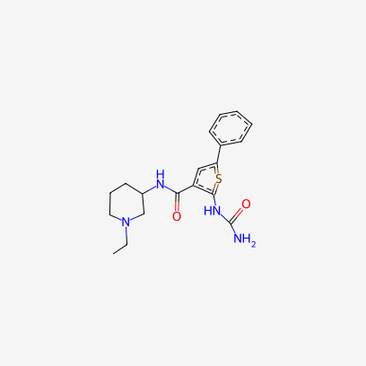 CCN1CCCC(NC(=O)c2cc(-c3ccccc3)sc2NC(N)=O)C1